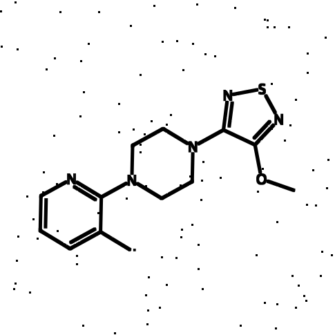 [CH2]c1cccnc1N1CCN(c2nsnc2OC)CC1